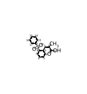 CC(=Cc1ccccc1S(=O)(=O)c1ccccc1)C(=O)O